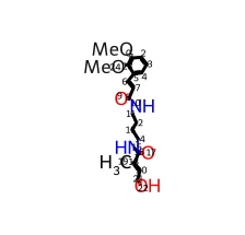 COc1cccc(/C=C/C(=O)NCCCCNC(=O)/C(C)=C/CO)c1OC